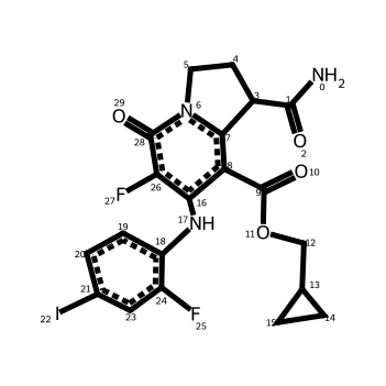 NC(=O)C1CCn2c1c(C(=O)OCC1CC1)c(Nc1ccc(I)cc1F)c(F)c2=O